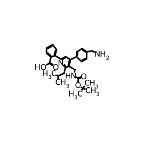 CC(C)Cc1nc(-c2ccccc2C(=O)O)cc(-c2ccc(CN)cc2)c1CNC(=O)OC(C)(C)C